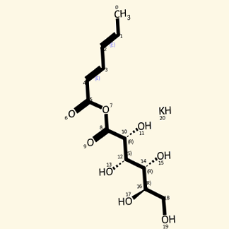 C/C=C/C=C/C(=O)OC(=O)[C@H](O)[C@@H](O)[C@H](O)[C@H](O)CO.[KH]